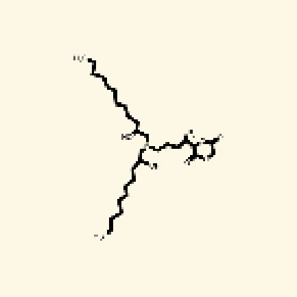 CCCCCCCCCCC(O)CN(CCCC(C)C1OC(=O)COC1=O)CC(O)CCCCCCCCC